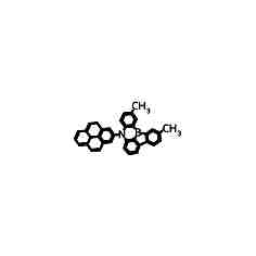 Cc1ccc2c(c1)B1c3cc(C)ccc3N(c3cc4c5c(c3)CC=C3C=CC=C(C=C4)C35)c3cccc-2c31